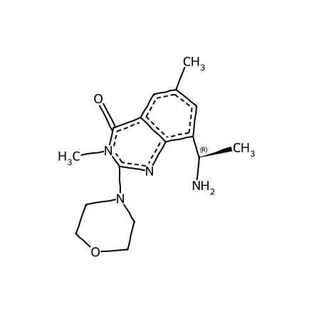 Cc1cc([C@@H](C)N)c2nc(N3CCOCC3)n(C)c(=O)c2c1